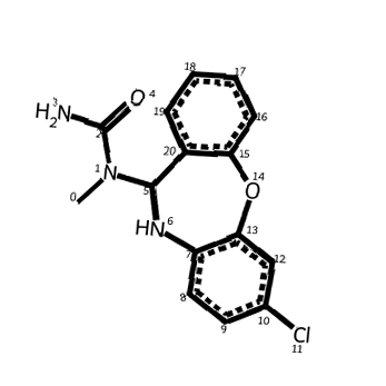 CN(C(N)=O)C1Nc2ccc(Cl)cc2Oc2ccccc21